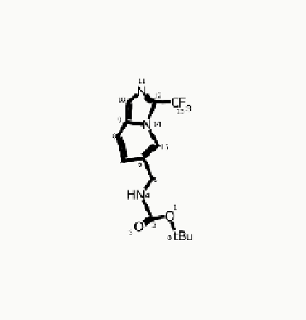 CC(C)(C)OC(=O)NCc1ccc2cnc(C(F)(F)F)n2c1